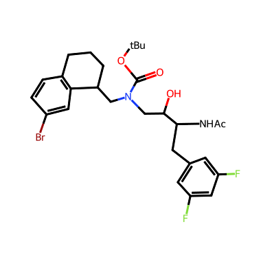 CC(=O)NC(Cc1cc(F)cc(F)c1)C(O)CN(CC1CCCc2ccc(Br)cc21)C(=O)OC(C)(C)C